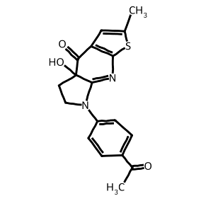 CC(=O)c1ccc(N2CCC3(O)C(=O)c4cc(C)sc4N=C23)cc1